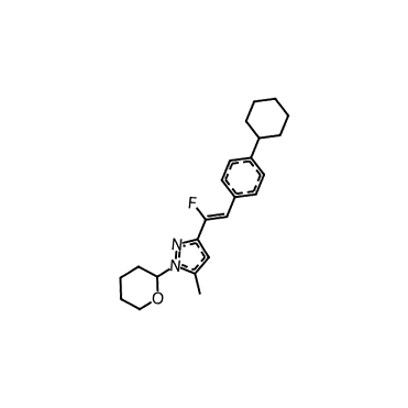 Cc1cc(C(F)=Cc2ccc(C3CCCCC3)cc2)nn1C1CCCCO1